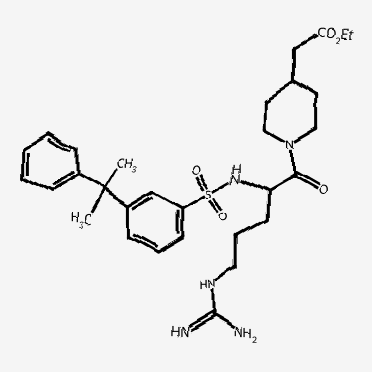 CCOC(=O)CC1CCN(C(=O)C(CCCNC(=N)N)NS(=O)(=O)c2cccc(C(C)(C)c3ccccc3)c2)CC1